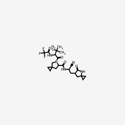 CC(C)(C)C(NC(=O)C(F)(F)F)C(=O)N1CC2(CC2)CC1C(=O)NC(C#N)CC1CC2(CC2)NC1=O